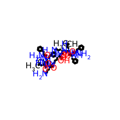 CC(C)CC[C@@H](NC(=O)[C@@H](Cc1ccccc1)NC(=O)[C@H](N)Cc1ccccc1)C(=O)N[C@H](CCCN)C(=O)N[C@H](CCCCNC(=O)[C@@H](CCCN)NC(=O)[C@@H](CC(C)C)NC(=O)[C@@H](CCc1ccccc1)NC(=O)[C@H](N)Cc1ccccc1)C(=O)O